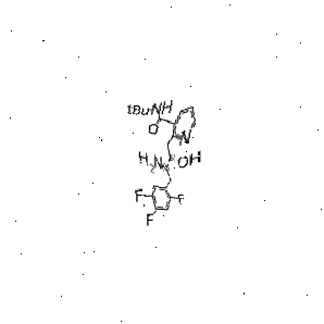 CC(C)(C)NC(=O)c1cccnc1C[C@H](O)[C@H](N)Cc1cc(F)c(F)cc1F